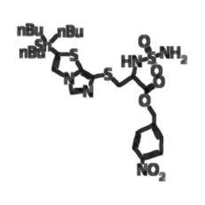 CCC[CH2][Sn]([CH2]CCC)([CH2]CCC)[c]1cn2cnc(SCC(NS(N)(=O)=O)C(=O)OCc3ccc([N+](=O)[O-])cc3)c2s1